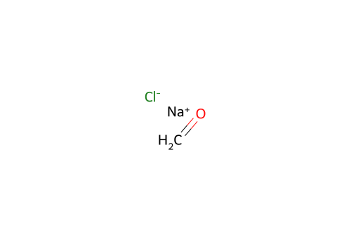 C=O.[Cl-].[Na+]